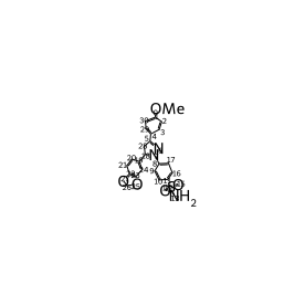 COc1ccc(C2=NN(c3ccc(S(N)(=O)=O)cc3)C(c3ccc4c(c3)OCO4)C2)cc1